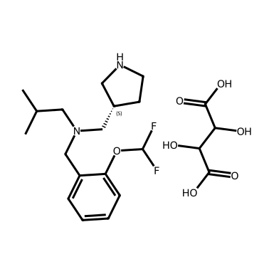 CC(C)CN(Cc1ccccc1OC(F)F)C[C@H]1CCNC1.O=C(O)C(O)C(O)C(=O)O